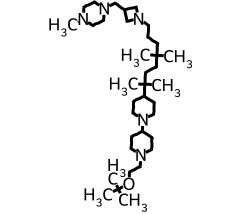 CN1CCN(CC2CN(CCCC(C)(C)CCC(C)(C)C3CCN(C4CCN(CCOC(C)(C)C)CC4)CC3)C2)CC1